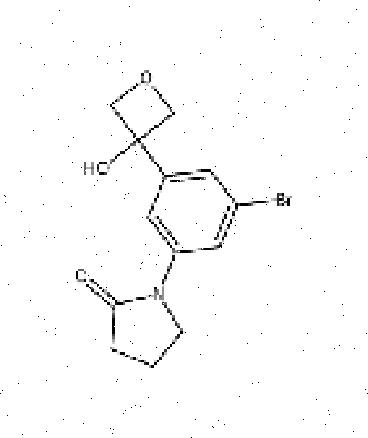 O=C1CCCN1c1cc(Br)cc(C2(O)COC2)c1